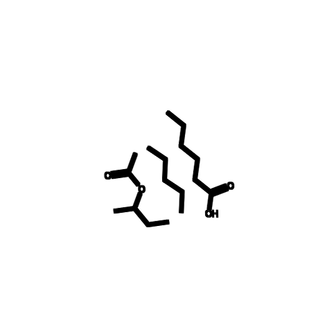 CCC(C)OC(C)=O.CCCCC.CCCCCC(=O)O